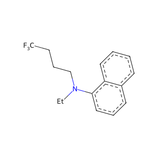 CCN(CCCC(F)(F)F)c1cccc2ccccc12